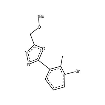 Cc1c(Br)cccc1-c1nnc(COC(C)(C)C)o1